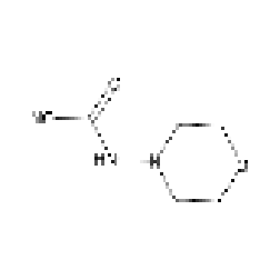 N#CC(=O)NN1CCOCC1